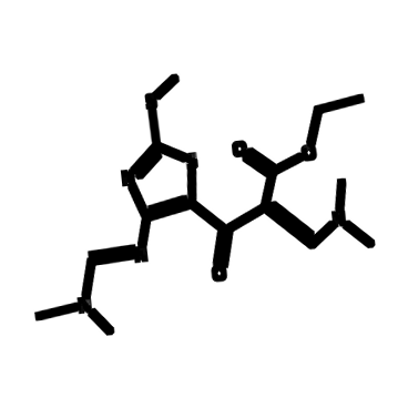 CCOC(=O)C(=CN(C)C)C(=O)c1sc(SC)nc1N=CN(C)C